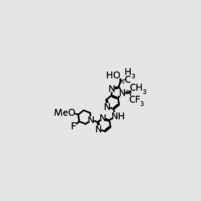 COC1CCN(c2nccc(Nc3cc4c(cn3)nc([C@@H](C)O)n4[C@H](C)C(F)(F)F)n2)CC1F